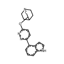 c1cc(-c2ccc(OC3CN4CCC3CC4)nn2)c2cc[nH]c2c1